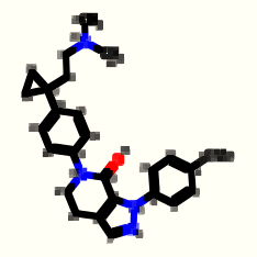 COc1ccc(-n2ncc3c2C(=O)N(c2ccc(C4(CCN(C)C)CC4)cc2)CC3)cc1